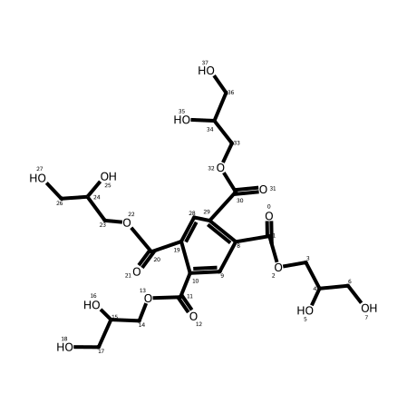 O=C(OCC(O)CO)c1cc(C(=O)OCC(O)CO)c(C(=O)OCC(O)CO)cc1C(=O)OCC(O)CO